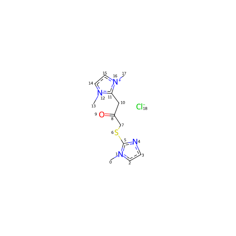 Cn1ccnc1SCC(=O)Cc1n(C)cc[n+]1C.[Cl-]